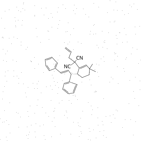 C=CCC(C#N)(C#N)C1=CC(C)(C)CCC1[C@@H](/C=C/c1ccccc1)c1ccccc1